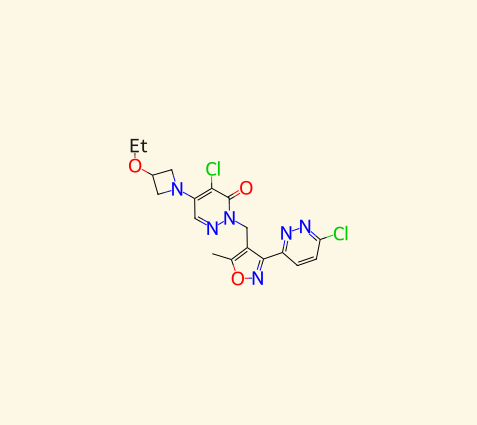 CCOC1CN(c2cnn(Cc3c(-c4ccc(Cl)nn4)noc3C)c(=O)c2Cl)C1